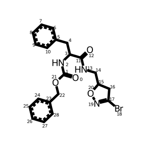 O=C(NC(Cc1ccccc1)C(=O)NCC1CC(Br)=NO1)OCc1ccccc1